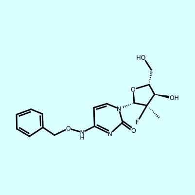 C[C@@]1(F)[C@H](O)[C@@H](CO)O[C@H]1n1ccc(NOCc2ccccc2)nc1=O